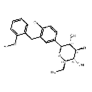 CCOc1ccccc1Cc1cc(C2O[C@H](CO)[C@@H](O)[C@H](O)[C@H]2O)ccc1Cl